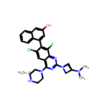 C[C@@H]1CN(c2nc(N3CC(N(C)C)C3)nc3c(F)c(-c4cc(O)cc5ccccc45)c(Cl)cc23)CCN1